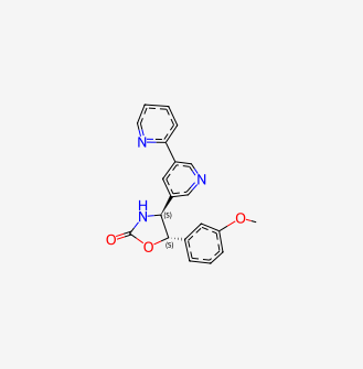 COc1cccc([C@@H]2OC(=O)N[C@H]2c2cncc(-c3ccccn3)c2)c1